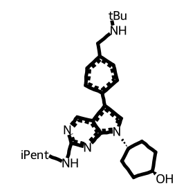 CCCC(C)Nc1ncc2c(-c3ccc(CNC(C)(C)C)cc3)cn([C@H]3CC[C@H](O)CC3)c2n1